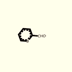 O=[C]c1bcccc1